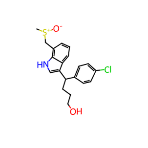 C[S+]([O-])Cc1cccc2c(C(CCCO)c3ccc(Cl)cc3)c[nH]c12